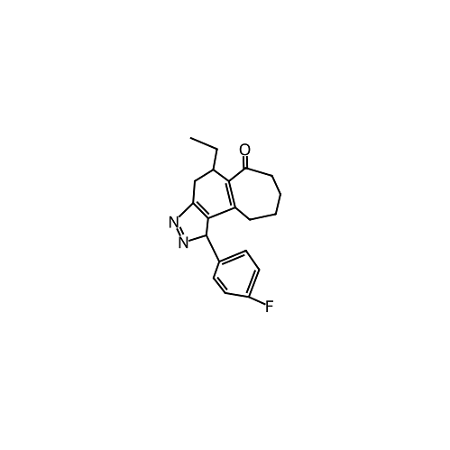 CCC1CC2=C(C3=C1C(=O)CCCC3)C(c1ccc(F)cc1)N=N2